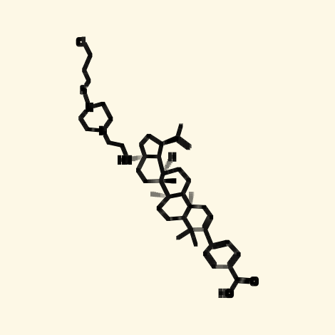 C=C(C)[C@@H]1CC[C@]2(NCCN3CCN(SCCCCl)CC3)CC[C@]3(C)[C@H](CCC4[C@@]5(C)CC=C(c6ccc(C(=O)O)cc6)C(C)(C)C5CC[C@]43C)C12